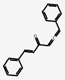 O=C(C=C=Cc1ccccc1)C=Cc1ccccc1